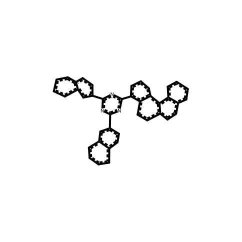 c1ccc2cc(-c3nc(-c4ccc5ccccc5c4)nc(-c4cccc5c4ccc4ccc6ccccc6c45)n3)ccc2c1